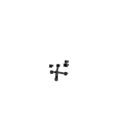 O=P([O-])([O-])[O-].[H+].[H+].[Rb+]